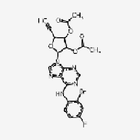 C#CC1OC(n2cnc3c(Nc4ccc(F)cc4Br)ncnc32)C(OC(C)=O)C1OC(C)=O